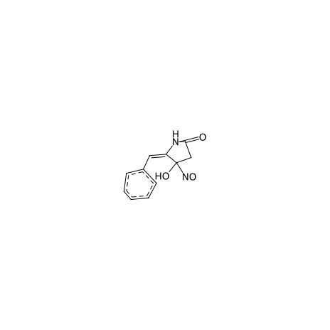 O=NC1(O)CC(=O)NC1=Cc1ccccc1